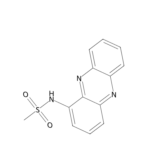 CS(=O)(=O)Nc1cccc2nc3ccccc3nc12